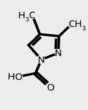 Cc1cn(C(=O)O)nc1C